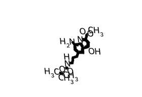 COC(=O)c1cc(O)c2cc(CCCNC(=O)OC(C)(C)C)cc(N)c2n1